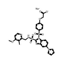 COc1ccnc(CNS(=O)(=O)c2nc3cc(-n4cccc4)ccc3n2S(=O)(=O)c2ccc(OCC(=O)[O-])cc2)c1C.[Na+]